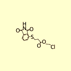 O=C(CCSc1cccc2c1C(=O)NC2=O)OCCCl